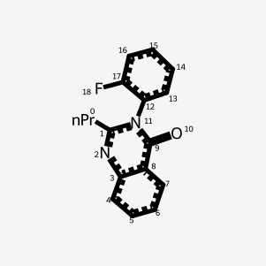 CCCc1nc2ccccc2c(=O)n1-c1ccccc1F